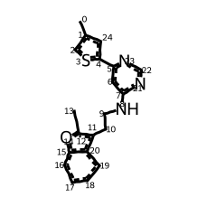 Cc1csc(-c2cc(NCCc3c(C)oc4ccccc34)ncn2)c1